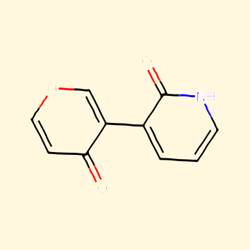 O=c1ccocc1-c1ccc[nH]c1=O